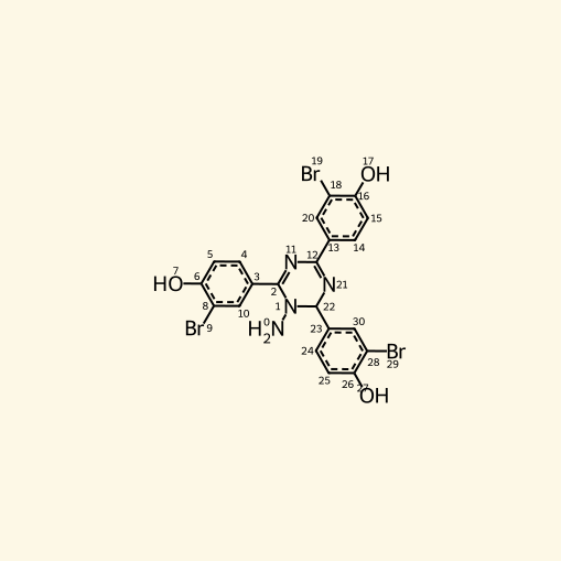 NN1C(c2ccc(O)c(Br)c2)=NC(c2ccc(O)c(Br)c2)=NC1c1ccc(O)c(Br)c1